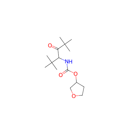 CC(C)(C)C(=O)C(NC(=O)OC1CCOC1)C(C)(C)C